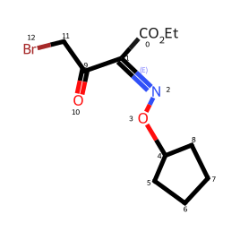 CCOC(=O)/C(=N/OC1CCCC1)C(=O)CBr